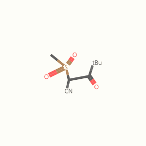 CC(C)(C)C(=O)C(C#N)S(C)(=O)=O